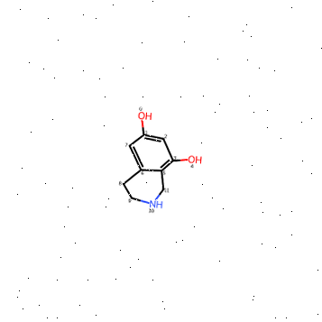 Oc1cc(O)c2c(c1)CCNC2